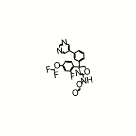 O=CONC1=NC(c2cccc(-c3cncnc3)c2)(c2ccc(OC(F)F)cc2F)CO1